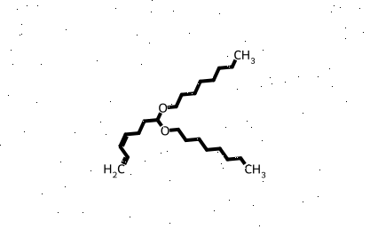 C=C/C=C\CCC(OCCCCCCCC)OCCCCCCCC